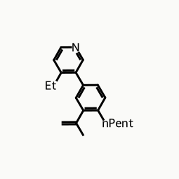 C=C(C)c1cc(-c2cnccc2CC)ccc1CCCCC